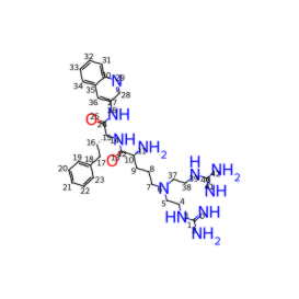 N=C(N)NCCN(CCC[C@H](N)C(=O)N[C@H](CCc1ccccc1)C(=O)Nc1cnc2ccccc2c1)CCNC(=N)N